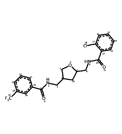 O=C(NCC1COC(CNC(=O)c2ccccc2Cl)C1)c1cccc(C(F)(F)F)c1